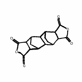 O=C1OC(=O)C2C3CCC(C12)C1C2CC(C4C(=O)OC(=O)C24)C31